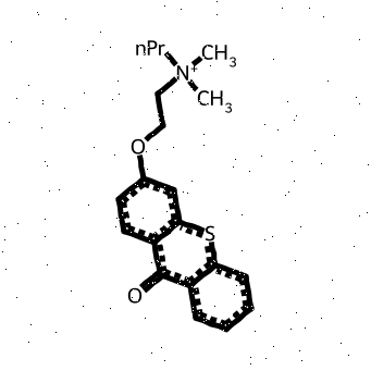 CCC[N+](C)(C)CCOc1ccc2c(=O)c3ccccc3sc2c1